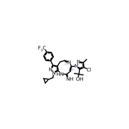 Cc1nn(C2=C/C(=N)Nc3c(c(-c4ccc(C(F)(F)F)cc4)nn3CC3CC3)C/C=N\2)c(C(C)(C)O)c1Cl